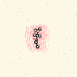 BC1=c2c(B)c(B)c(-c3c(B)c(B)c(B)c(B)c3B)c(B)c2=C(B)C1c1c2c(B)c(B)c(B)c(B)c2c(-c2c(B)c3c(B)c(B)c(B)c(B)c3c3c(B)c(B)c(B)c(B)c23)c2c(B)c(B)c(B)c(B)c12